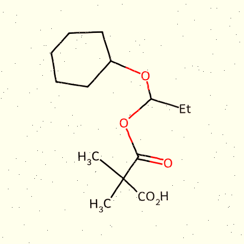 CCC(OC(=O)C(C)(C)C(=O)O)OC1CCCCC1